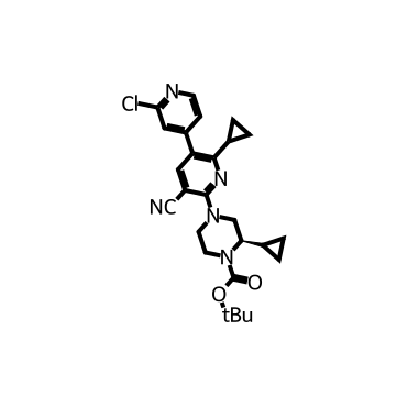 CC(C)(C)OC(=O)N1CCN(c2nc(C3CC3)c(-c3ccnc(Cl)c3)cc2C#N)C[C@H]1C1CC1